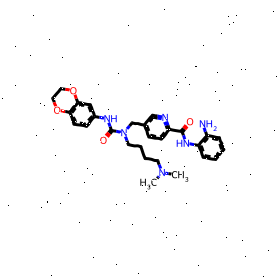 CN(C)CCCCN(Cc1ccc(C(=O)Nc2ccccc2N)nc1)C(=O)Nc1ccc2c(c1)OCCO2